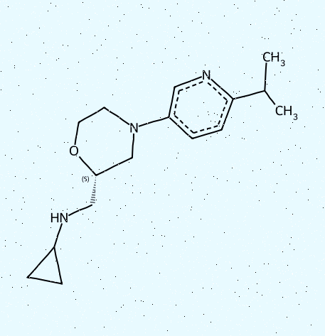 CC(C)c1ccc(N2CCO[C@@H](CNC3CC3)C2)cn1